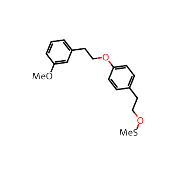 COc1cccc(CCOc2ccc(CCOSC)cc2)c1